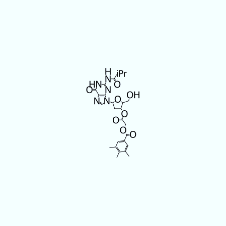 Cc1cc(C(=O)OCC(=O)OC2CC(n3cnc4c(=O)[nH]c(NC(=O)C(C)C)nc43)OC2CO)cc(C)c1C